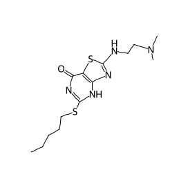 CCCCCSc1nc(=O)c2sc(NCCN(C)C)nc2[nH]1